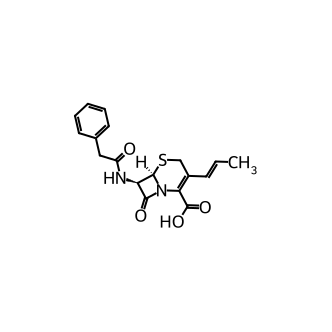 C/C=C/C1=C(C(=O)O)N2C(=O)[C@@H](NC(=O)Cc3ccccc3)[C@H]2SC1